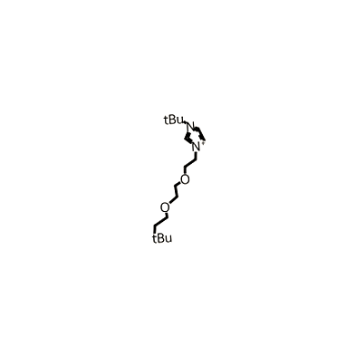 CC(C)(C)CCOCCOCC[n+]1ccn(C(C)(C)C)c1